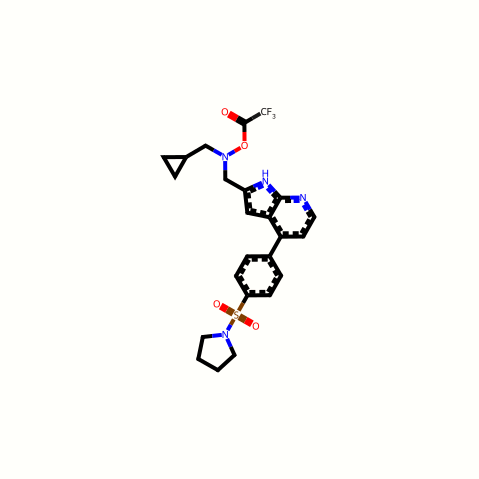 O=C(ON(Cc1cc2c(-c3ccc(S(=O)(=O)N4CCCC4)cc3)ccnc2[nH]1)CC1CC1)C(F)(F)F